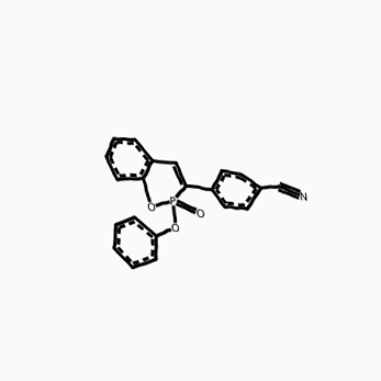 N#Cc1ccc(C2=Cc3ccccc3OP2(=O)Oc2ccccc2)cc1